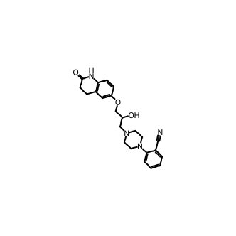 N#Cc1ccccc1N1CCN(CC(O)COc2ccc3c(c2)CCC(=O)N3)CC1